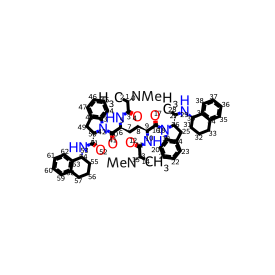 CN[C@@H](C)C(=O)N[C@@H](CC[C@H](NC(=O)[C@H](C)NC)C(=O)N1c2ccccc2C[C@H]1C(C)N[C@@H]1CCCc2ccccc21)C(=O)N1c2ccccc2C[C@H]1C(=O)N[C@@H]1CCCc2ccccc21